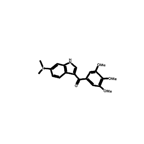 COc1cc(C(=O)c2c[nH]c3cc(N(C)C)ccc23)cc(OC)c1OC